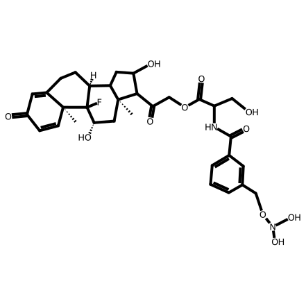 C[C@]12C[C@H](O)C3(F)[C@@H](CCC4=CC(=O)C=C[C@@]43C)C1CC(O)C2C(=O)COC(=O)C(CO)NC(=O)c1cccc(CON(O)O)c1